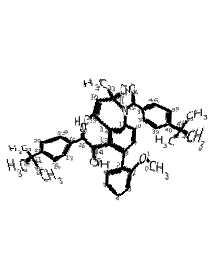 COc1ccccc1-c1ccc2c(c1C(O)C(=O)c1ccc(C(C)(C)C)cc1)C(C)=CC(C)(C)N2C(=O)c1ccc(C(C)(C)C)cc1